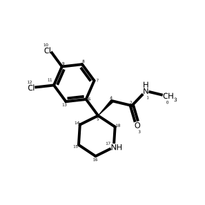 CNC(=O)C[C@]1(c2ccc(Cl)c(Cl)c2)CCCNC1